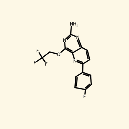 Nc1nc(OCC(F)(F)F)c2nc(-c3ccc(F)cc3)ccc2n1